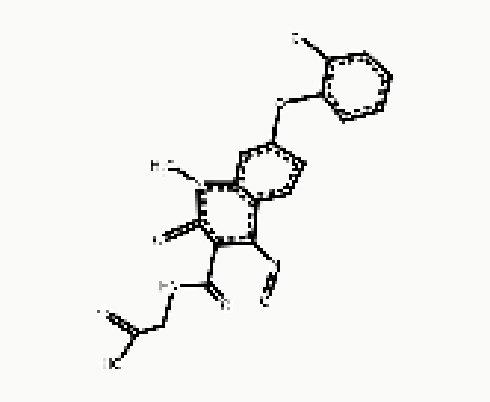 Cn1c(=O)c(C(=O)NCC(=O)O)c(N=O)c2ccc(Oc3ccccc3Cl)cc21